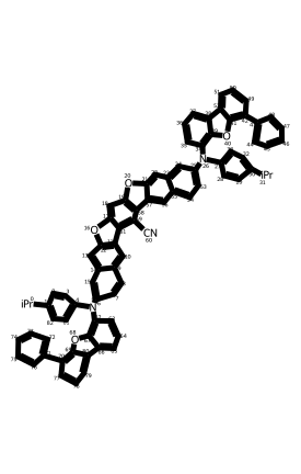 CC(C)c1ccc(N(c2ccc3cc4c(cc3c2)oc2cc3oc5cc6cc(N(c7ccc(C(C)C)cc7)c7cccc8c7oc7c(-c9ccccc9)cccc78)ccc6cc5c3c(C#N)c24)c2cccc3c2oc2c(-c4ccccc4)cccc23)cc1